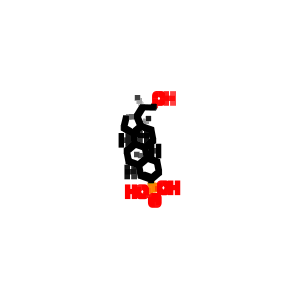 C[C@H](CO)[C@H]1CC[C@H]2[C@@H]3CC[C@H]4C=C(P(=O)(O)O)CC[C@]4(C)[C@H]3CC[C@]12C